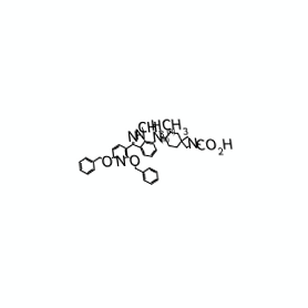 C[C@@H]1CC2(CC[C@H]1Nc1cccc3c(-c4ccc(OCc5ccccc5)nc4OCc4ccccc4)nn(C)c13)CN(C(=O)O)C2